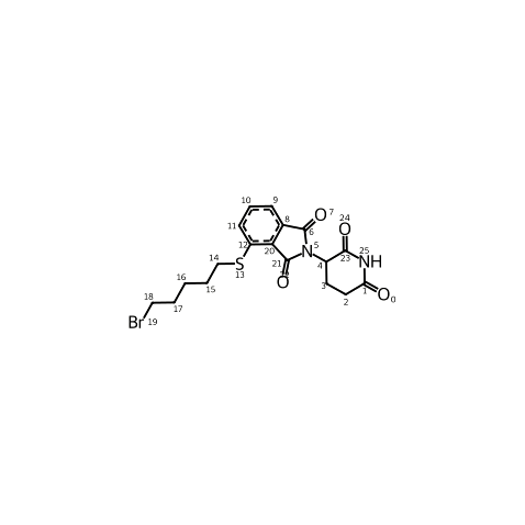 O=C1CCC(N2C(=O)c3cccc(SCCCCCBr)c3C2=O)C(=O)N1